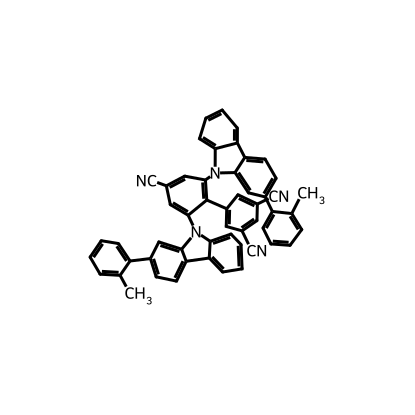 Cc1ccccc1-c1ccc2c3ccccc3n(-c3cc(C#N)cc(-n4c5ccccc5c5ccc(-c6ccccc6C)cc54)c3-c3cc(C#N)cc(C#N)c3)c2c1